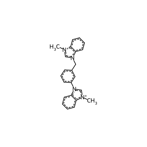 C[n+]1cn(Cc2cccc(-n3c[n+](C)c4ccccc43)c2)c2ccccc21